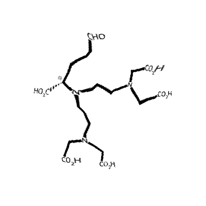 O=CCC[C@@H](C(=O)O)N(CCN(CC(=O)O)CC(=O)O)CCN(CC(=O)O)CC(=O)O